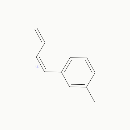 C=C/C=C\c1cccc(C)c1